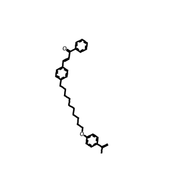 C=C(C)c1ccc(OCCCCCCCCCCc2ccc(C=CC(=O)c3ccccc3)cc2)cc1